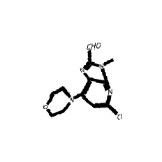 Cn1c(C=O)nc2c(N3CCOCC3)cc(Cl)nc21